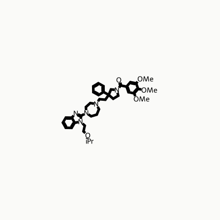 COc1cc(C(=O)N2CCC(CCN3CCCN(c4nc5ccccc5n4CCOC(C)C)CC3)(c3ccccc3)C2)cc(OC)c1OC